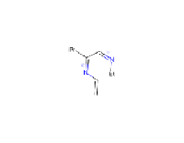 C=C/N=C(\C=N/CC)C(C)C